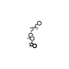 O=C(CC1CCCCC1)NCC[C@@H]1CC[C@H]2CN(c3noc4ccccc34)CCN2C1